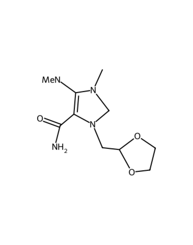 CNC1=C(C(N)=O)N(CC2OCCO2)CN1C